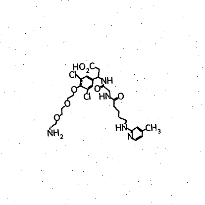 Cc1ccnc(NCCCCC(=O)NCC(=O)NC(CC(=O)O)c2cc(Cl)c(OCCOCCOCCN)c(Cl)c2)c1